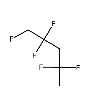 CC(F)(F)CC(F)(F)CF